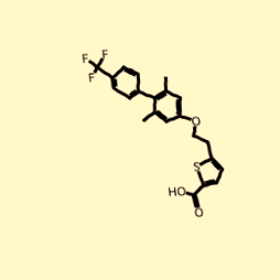 Cc1cc(OCCc2ccc(C(=O)O)s2)cc(C)c1-c1ccc(C(F)(F)F)cc1